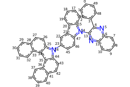 c1ccc(-c2nc3ccccc3nc2-n2c3ccccc3c3cc(-n4c5ccc6ccccc6c5c5c6ccccc6ccc54)ccc32)cc1